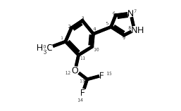 Cc1ccc(-c2cn[nH]c2)cc1OC(F)F